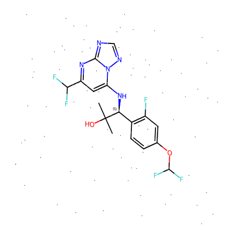 CC(C)(O)[C@@H](Nc1cc(C(F)F)nc2ncnn12)c1ccc(OC(F)F)cc1F